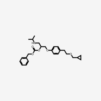 CC(C)NCC(COc1ccc(CCOCC2CC2)cc1)OC(=O)OCc1ccccc1